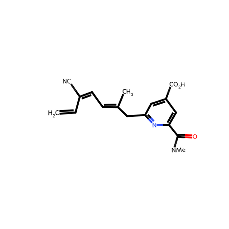 C=C/C(C#N)=C\C=C(/C)Cc1cc(C(=O)O)cc(C(=O)NC)n1